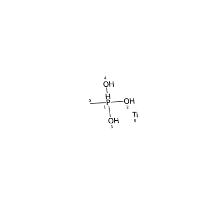 C[PH](O)(O)O.[Ti]